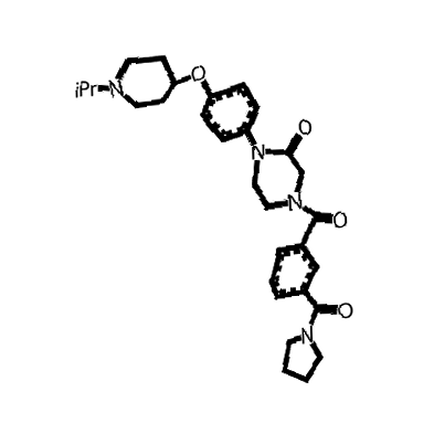 CC(C)N1CCC(Oc2ccc(N3CCN(C(=O)c4cccc(C(=O)N5CCCC5)c4)CC3=O)cc2)CC1